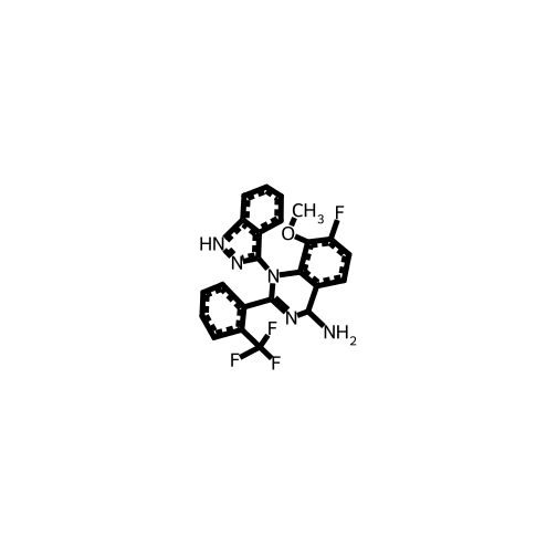 COc1c(F)ccc2c1N(c1n[nH]c3ccccc13)C(c1ccccc1C(F)(F)F)=NC2N